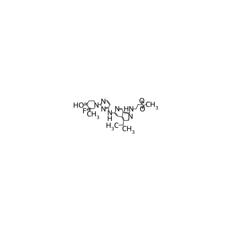 CC(C)c1cnc(NCCS(C)(=O)=O)c2cnc(Nc3ccnc(N4CC[C@@H](O)[C@@](C)(F)C4)n3)cc12